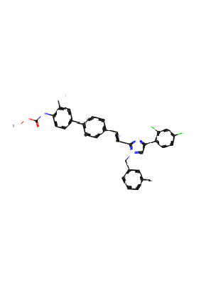 COc1cc(-c2ccc(/C=C/c3nc(-c4ccc(Cl)cc4Cl)cn3Cc3cccc(C(=O)O)c3)cc2)ccc1NC(=O)OC(C)C